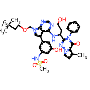 Cc1ccn2nc(C(CCO)Nc3ncnc4c3c(-c3cc(O)cc(NS(C)(=O)=O)c3)cn4COCC[Si](C)(C)C)n(-c3ccccc3)c(=O)c12